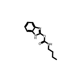 CCCCNC(=O)Oc1nc2ccccc2[nH]1